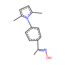 CC(=NO)c1ccc(-n2c(C)ccc2C)cc1